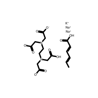 C/C=C/C=C/C(=O)O.O=C([O-])CN(CCN(CC(=O)[O-])CC(=O)O)CC(=O)[O-].[K+].[Na+].[Na+]